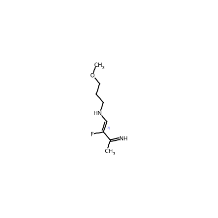 COCCCN/C=C(\F)C(C)=N